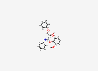 COc1cccc(OC)c1OC(=N\c1ccccc1)/C(C)=C/Oc1ccccc1